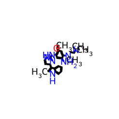 COc1cc(N(C)CCN(C)C)c(N)cc1Nc1nccc(-c2c(C)[nH]c3ccccc23)n1